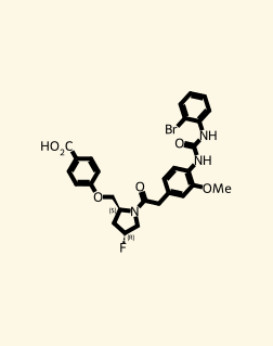 COc1cc(CC(=O)N2C[C@H](F)C[C@H]2COc2ccc(C(=O)O)cc2)ccc1NC(=O)Nc1ccccc1Br